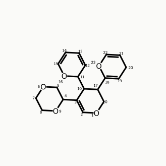 [CH]1OC=C(C2COCCO2)C(C2C=CC=CO2)C1C1=CCC=CO1